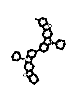 Cc1ccc2oc3cc4c(cc3c2c1)c1cc(-c2ccc3c(c2)c2cc5c(cc2n3-c2ccccc2)oc2ccccc25)ccc1n4-c1ccccc1